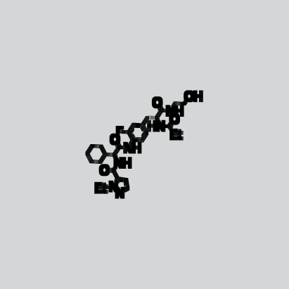 CCC(=O)N[C@H](Cc1ccc(NC(=O)[C@@H](NC(=O)c2ccnn2CC)C2CCCCC2)c(F)c1)C(=O)NCCO